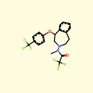 CN(C(=O)C(F)(F)F)N1CCc2ccccc2C(Oc2ccc(C(F)(F)F)cc2)C1